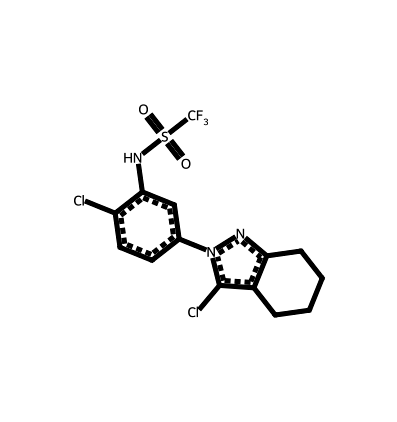 O=S(=O)(Nc1cc(-n2nc3c(c2Cl)CCCC3)ccc1Cl)C(F)(F)F